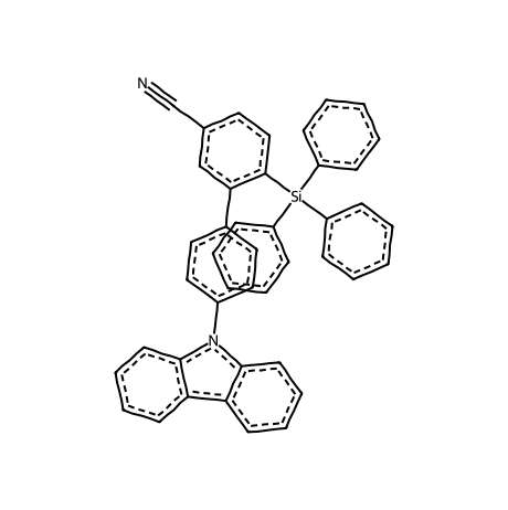 N#Cc1ccc([Si](c2ccccc2)(c2ccccc2)c2ccccc2)c(-c2ccc(-n3c4ccccc4c4ccccc43)cc2)c1